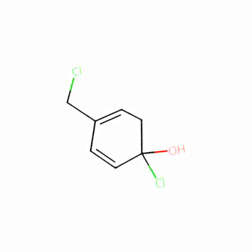 OC1(Cl)C=CC(CCl)=CC1